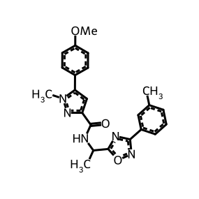 COc1ccc(-c2cc(C(=O)NC(C)c3nc(-c4cccc(C)c4)no3)nn2C)cc1